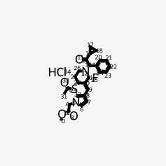 COC(=O)Cn1ccc(C=C2CN(C(C(=O)C3CC3)c3ccccc3F)CCC2SC(C)=O)c1.Cl